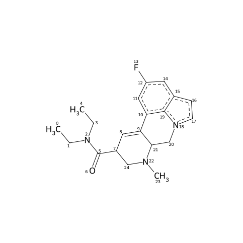 CCN(CC)C(=O)C1C=C2c3cc(F)cc4ccn(c34)CC2N(C)C1